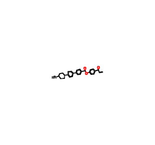 C=CC(=O)c1ccc(OC(=O)c2ccc(-c3ccc(C4CCC(CCC)CC4)cc3)cc2)cc1